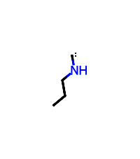 [CH]NCCC